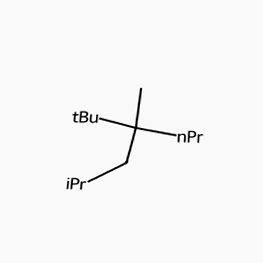 CCCC(C)(CC(C)C)C(C)(C)C